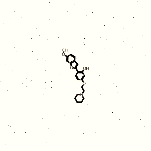 COc1ccc2cc(-c3ccc(OCCN4CCCCC4)cc3O)oc2c1